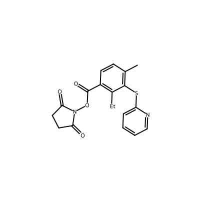 CCc1c(C(=O)ON2C(=O)CCC2=O)ccc(C)c1Sc1ccccn1